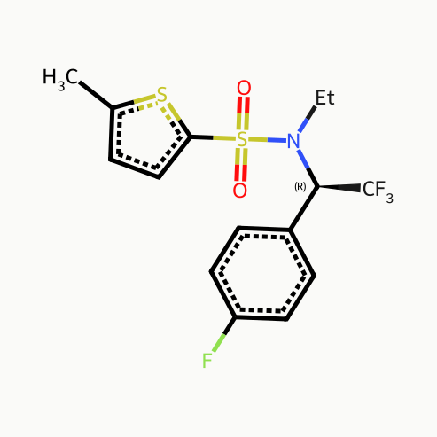 CCN([C@H](c1ccc(F)cc1)C(F)(F)F)S(=O)(=O)c1ccc(C)s1